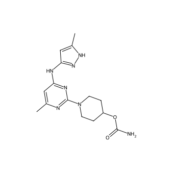 Cc1cc(Nc2cc(C)[nH]n2)nc(N2CCC(OC(N)=O)CC2)n1